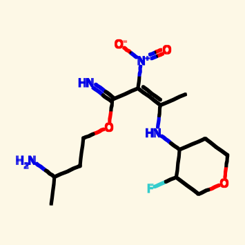 C/C(NC1CCOCC1F)=C(/C(=N)OCCC(C)N)[N+](=O)[O-]